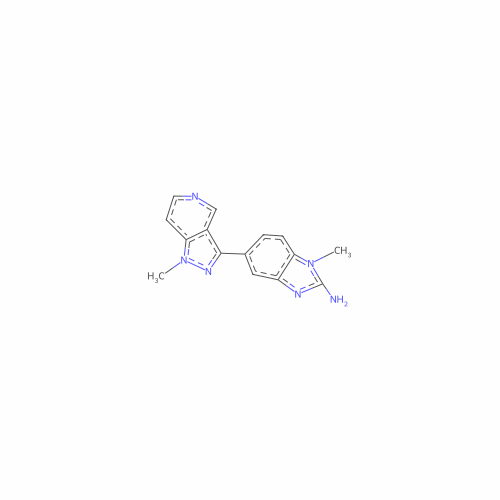 Cn1nc(-c2ccc3c(c2)nc(N)n3C)c2cnccc21